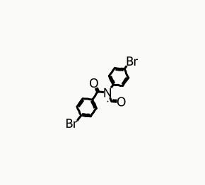 O=[C]N(C(=O)c1ccc(Br)cc1)c1ccc(Br)cc1